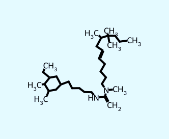 C=C(NCCCCCC1CC(C)C(C)C(CC)C1)N(C)CCCC/C=C/CC(C)C(C)(C)CCC